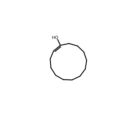 OC1=CCCCCCCCCCCC1